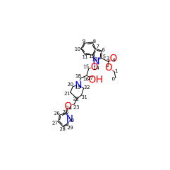 CCOC(=O)c1cc2ccccc2n1OCC(O)CN1CCC(COc2ccccn2)CC1